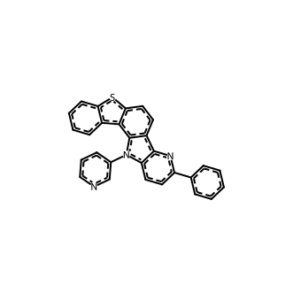 c1ccc(-c2ccc3c(n2)c2ccc4sc5ccccc5c4c2n3-c2cccnc2)cc1